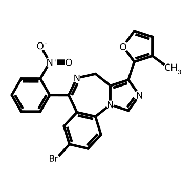 Cc1ccoc1-c1ncn2c1CN=C(c1ccccc1[N+](=O)[O-])c1cc(Br)ccc1-2